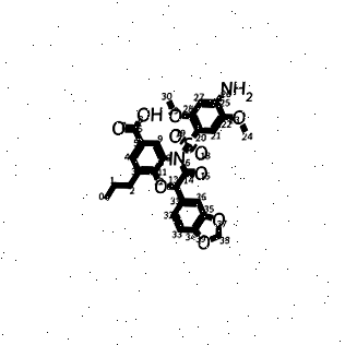 CCCc1cc(C(=O)O)ccc1OC(C(=O)NS(=O)(=O)c1cc(OC)c(N)cc1OC)c1ccc2c(c1)OCO2